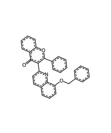 O=c1c(-c2ccc3cccc(OCc4ccccc4)c3n2)c(-c2ccccc2)oc2ccccc12